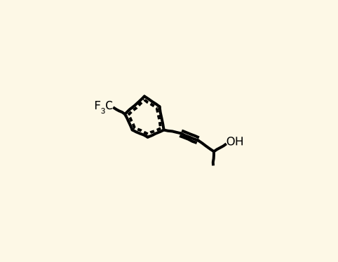 CC(O)C#Cc1ccc(C(F)(F)F)cc1